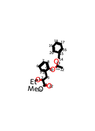 CCOC(Cc1ccccc1OC(C)OCc1ccccc1)C(=O)OC